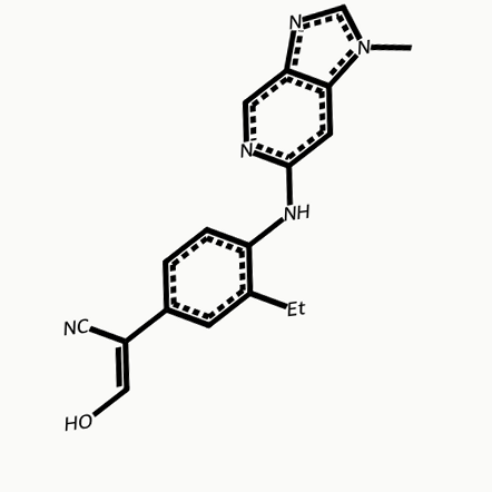 CCc1cc(C(C#N)=CO)ccc1Nc1cc2c(cn1)ncn2C